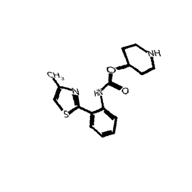 Cc1csc(-c2ccccc2NC(=O)OC2CCNCC2)n1